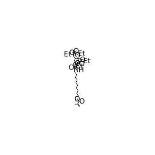 C=C(C)C(=O)OCCCCCCCCCCNC(=O)OCC(CP(=O)(OCC)OCC)CP(=O)(OCC)OCC